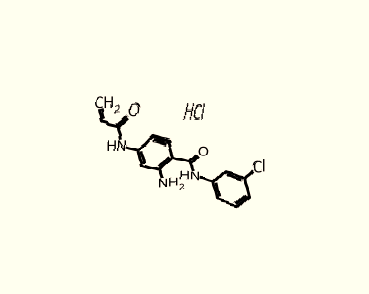 C=CC(=O)Nc1ccc(C(=O)Nc2cccc(Cl)c2)c(N)c1.Cl